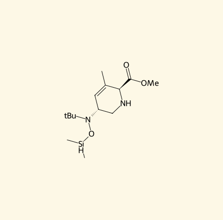 COC(=O)[C@H]1NC[C@H](N(O[SiH](C)C)C(C)(C)C)C=C1C